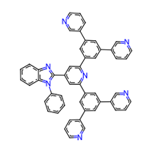 c1ccc(-n2c(-c3cc(-c4cc(-c5cccnc5)cc(-c5cccnc5)c4)nc(-c4cc(-c5cccnc5)cc(-c5cccnc5)c4)c3)nc3ccccc32)cc1